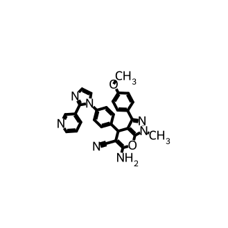 COc1ccc(-c2nn(C)c3c2C(c2ccc(-n4ccnc4-c4cccnc4)cc2)C(C#N)=C(N)O3)cc1